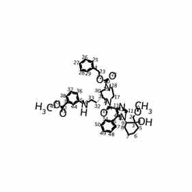 COC[C@]1(O)CCCC[C@H]1n1cnc(C(=O)N2CCN(C(=O)OCc3ccccc3)C[C@H]2CCNc2cccc(C(=O)OC)c2)c1-c1ccccc1